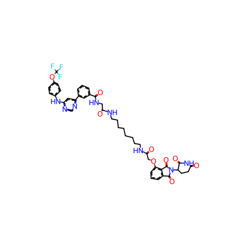 O=C(CNC(=O)c1cccc(-c2cc(Nc3ccc(OC(F)(F)F)cc3)ncn2)c1)NCCCCCCCCNC(=O)COc1cccc2c1C(=O)N(C1CCC(=O)NC1=O)C2=O